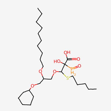 CCCCCCCCCCOC(COC1CCCCC1)COC(SCCCCC)C(O)([PH2]=O)C(=O)O